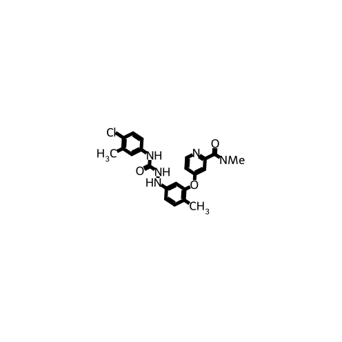 CNC(=O)c1cc(Oc2cc(NNC(=O)Nc3ccc(Cl)c(C)c3)ccc2C)ccn1